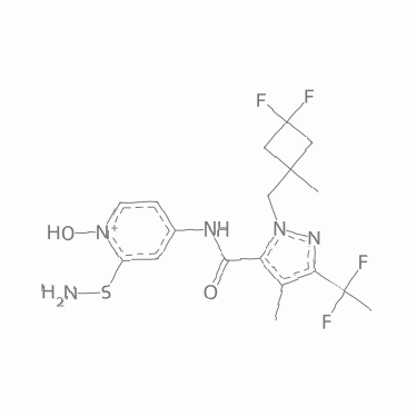 Cc1c(C(C)(F)F)nn(CC2(C)CC(F)(F)C2)c1C(=O)Nc1cc[n+](O)c(SN)c1